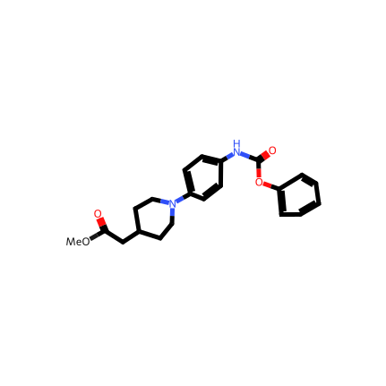 COC(=O)CC1CCN(c2ccc(NC(=O)Oc3ccccc3)cc2)CC1